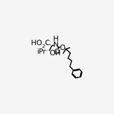 CC(C)[C@@H](O)[C@@H](NC(=O)OC(C)(C)CCCCc1ccccc1)C(=O)O